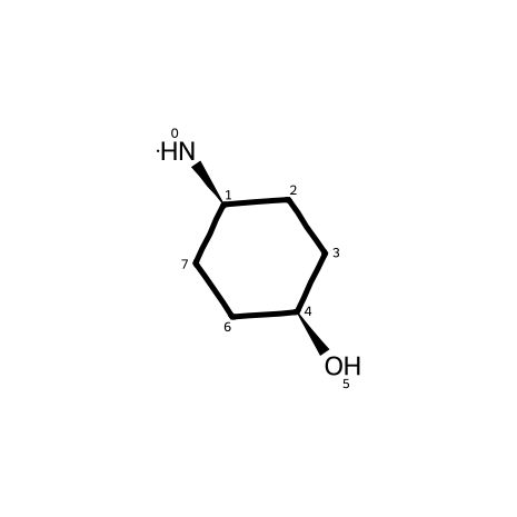 [NH][C@H]1CC[C@@H](O)CC1